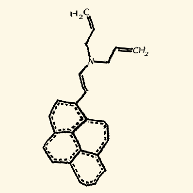 C=CCN(C=Cc1ccc2ccc3cccc4ccc1c2c34)CC=C